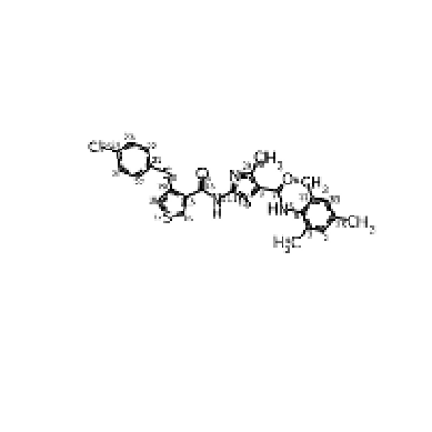 Cc1cc(C)c(NC(=O)c2sc(NC(=O)c3cscc3Sc3ccc(Cl)cc3)nc2C)c(C)c1